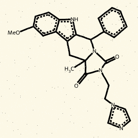 COc1ccc2[nH]c3c(c2c1)CC1(C)C(=O)N(CCn2ccnc2)C(=O)N1C3c1ccccc1